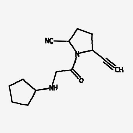 C#CC1CCC(C#N)N1C(=O)CNC1CCCC1